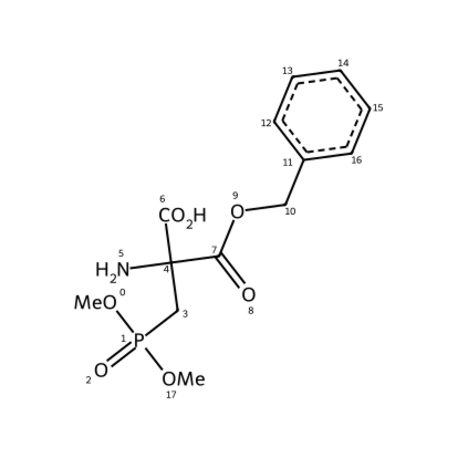 COP(=O)(CC(N)(C(=O)O)C(=O)OCc1ccccc1)OC